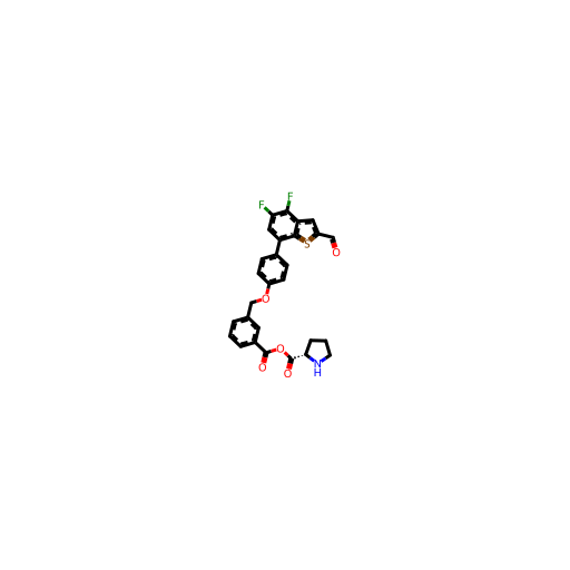 O=Cc1cc2c(F)c(F)cc(-c3ccc(OCc4cccc(C(=O)OC(=O)[C@@H]5CCCN5)c4)cc3)c2s1